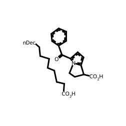 CCCCCCCCCCCCCCCCCC(=O)O.O=C(c1ccccc1)c1ccc2n1CCC2C(=O)O